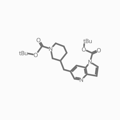 CC(C)(C)OC(=O)N1CCCC(Cc2cnc3ccn(C(=O)OC(C)(C)C)c3c2)C1